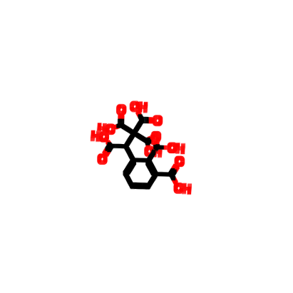 O=C(O)c1cccc(C(C(=O)O)C(C(=O)O)(C(=O)O)C(=O)O)c1C(=O)O